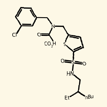 CCCCC(CC)CNS(=O)(=O)c1ccc(CN(Cc2cccc(Cl)c2)C(=O)C(=O)O)s1